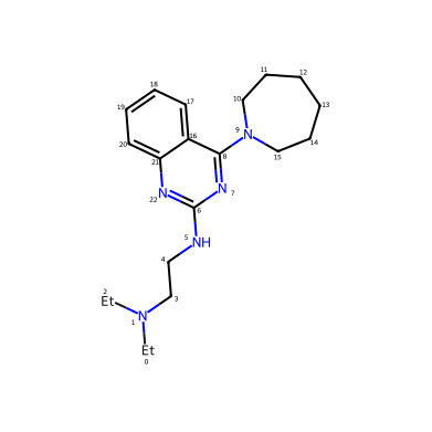 CCN(CC)CCNc1nc(N2CCCCCC2)c2ccccc2n1